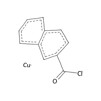 O=C(Cl)c1ccc2ccccc2c1.[Cu]